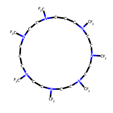 FC(F)(F)N1CCCN(C(F)(F)F)CCN(C(F)(F)F)CCN(C(F)(F)F)CCN(C(F)(F)F)CCN(C(F)(F)F)CCCN(C(F)(F)F)CC1